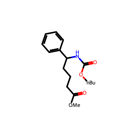 CCCCOC(=O)NC(CCCC(=O)OC)c1ccccc1